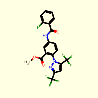 COC(=O)c1cc(NC(=O)c2ccccc2F)ccc1-n1nc(C(F)(F)F)cc1C(F)(F)F